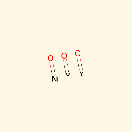 [O]=[Ni].[O]=[Y].[O]=[Y]